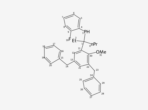 CCCC(CC)(Pc1ccccc1F)c1cc(Cc2ccccc2)cc(Cc2ccccc2)c1OC